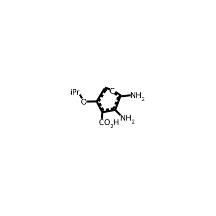 CC(C)Oc1ccc(N)c(N)c1C(=O)O